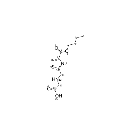 CCCCOC(=O)c1csc(CNCC(=O)O)n1